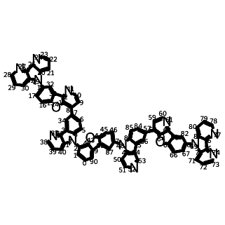 c1cc(-n2c3ccc(-c4ccnc5c4oc4ccc(-n6c7cccnc7c7ncccc76)cc45)cc3c3ncccc32)c2oc3ccc(-n4c5ccncc5c5cc(-c6ccnc7c6oc6ccc(-n8c9cccnc9c9ncccc98)cc67)ccc54)cc3c2c1